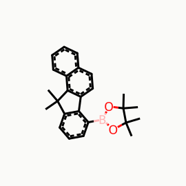 CC1(C)c2cccc(B3OC(C)(C)C(C)(C)O3)c2-c2ccc3ccccc3c21